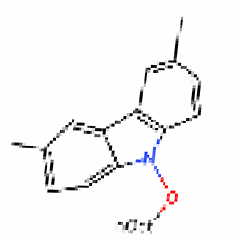 CCCCCCCCOn1c2ccc(C)cc2c2cc(C)ccc21